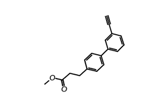 C#Cc1cccc(-c2ccc(CCC(=O)OC)cc2)c1